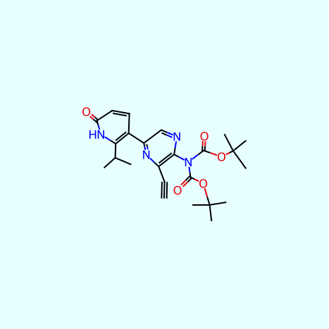 C#Cc1nc(-c2ccc(=O)[nH]c2C(C)C)cnc1N(C(=O)OC(C)(C)C)C(=O)OC(C)(C)C